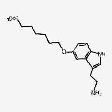 CCCCCCCCCCCCCCCCOc1ccc2[nH]cc(CCN)c2c1